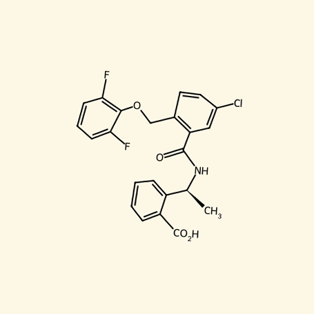 C[C@H](NC(=O)c1cc(Cl)ccc1COc1c(F)cccc1F)c1ccccc1C(=O)O